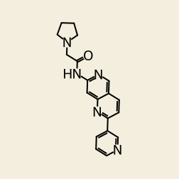 O=C(CN1CCCC1)Nc1cc2nc(-c3cccnc3)ccc2cn1